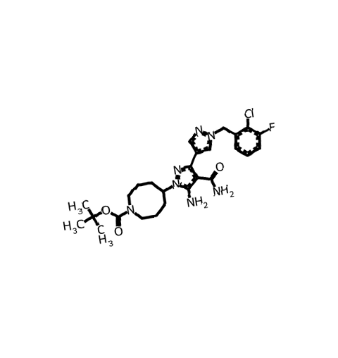 CC(C)(C)OC(=O)N1CCCC(n2nc(-c3cnn(Cc4cccc(F)c4Cl)c3)c(C(N)=O)c2N)CCC1